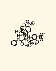 COc1c([N+](=O)[O-])ccc(N2N=C(C(=O)Nc3ccccc3)NN2c2ccc([N+](=O)[O-])c(OC)c2S(=O)(=O)O)c1S(=O)(=O)O